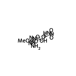 COc1nc(N)nc2c1ncn2[C@@H]1O[C@H](COSC[C@H]2NC(=O)N(C)C2=O)[C@@H](O)[C@@]1(C)O